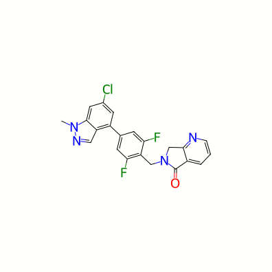 Cn1ncc2c(-c3cc(F)c(CN4Cc5ncccc5C4=O)c(F)c3)cc(Cl)cc21